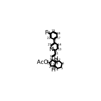 CC(=O)O[C@H]1C[C@H]2CCCC[C@H]2[C@@H]1C=Cc1ccc(-c2cccc(F)c2)cn1